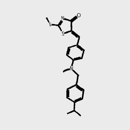 CSC1=NC(=O)/C(=C/c2ccc(N(C)Cc3ccc(C(C)C)cc3)cc2)S1